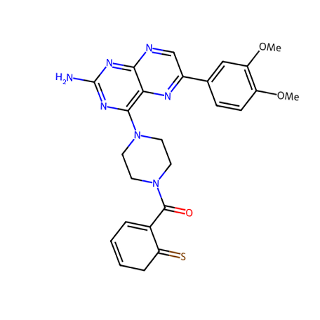 COc1ccc(-c2cnc3nc(N)nc(N4CCN(C(=O)C5=CC=CCC5=S)CC4)c3n2)cc1OC